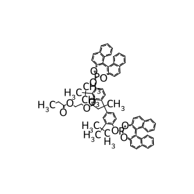 CCC(=O)OCCOC(=O)CC(C)(c1ccc(Op2oc3ccc4ccccc4c3c3c(ccc4ccccc43)o2)c(C(C)(C)C)c1)c1ccc(Op2oc3ccc4ccccc4c3c3c(ccc4ccccc43)o2)c(C(C)(C)C)c1